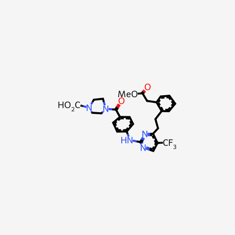 COC(=O)Cc1ccccc1CCc1nc(Nc2ccc(C(=O)N3CCN(C(=O)O)CC3)cc2)ncc1C(F)(F)F